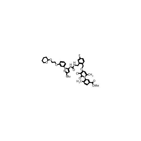 COC(=O)c1ccc(C)c(-n2c(C)cc(OCc3ccc(F)cc3CNC(=O)Nc3cc(C(C)(C)C)nn3-c3cccc(OCCOC4CCCCO4)c3)c(Cl)c2=O)c1